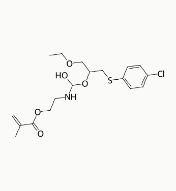 C=C(C)C(=O)OCCNC(O)OC(COCC)CSc1ccc(Cl)cc1